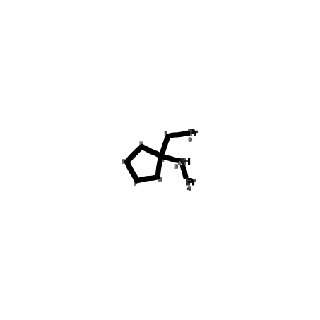 CC(C)CC1(NC(C)C)CCCC1